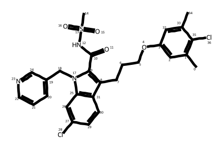 Cc1cc(OCCCc2c(C(=O)NS(C)(=O)=O)n(Cc3cccnc3)c3cc(Cl)ccc23)cc(C)c1Cl